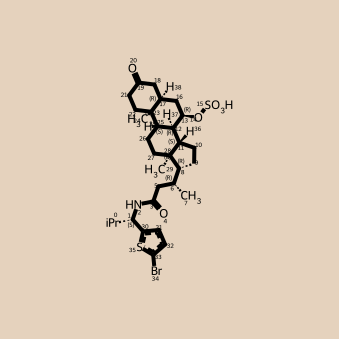 CC(C)[C@H](NC(=O)C[C@@H](C)[C@H]1CC[C@H]2[C@@H]3[C@H](OS(=O)(=O)O)C[C@@H]4CC(=O)CC[C@]4(C)[C@H]3CC[C@]12C)c1ccc(Br)s1